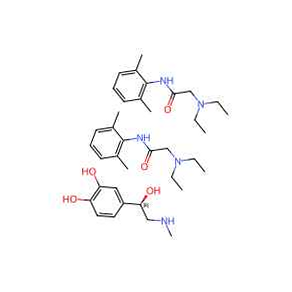 CCN(CC)CC(=O)Nc1c(C)cccc1C.CCN(CC)CC(=O)Nc1c(C)cccc1C.CNC[C@H](O)c1ccc(O)c(O)c1